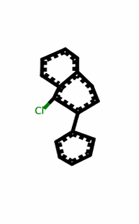 Clc1c(-c2ccccc2)ccc2ccccc12